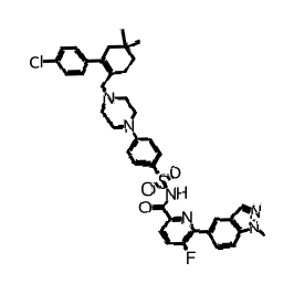 Cn1ncc2cc(-c3nc(C(=O)NS(=O)(=O)c4ccc(N5CCN(CC6=C(c7ccc(Cl)cc7)CC(C)(C)CC6)CC5)cc4)ccc3F)ccc21